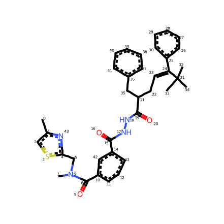 Cc1csc(CN(C)C(=O)c2cccc(C(=O)NNC(=O)C(C/C=C(/c3ccccc3)C(C)(C)C)Cc3ccccc3)c2)n1